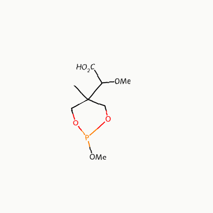 COC(C(=O)O)C1(C)COP(OC)OC1